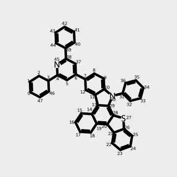 C1=CCC(c2cc(-c3ccc4c(c3)c3c5ccccc5c5c6ccccc6sc5c3n4-c3ccccc3)cc(-c3ccccc3)n2)C=C1